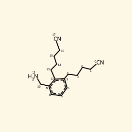 N#CCCCCc1cccc(CN)c1CCCCC#N